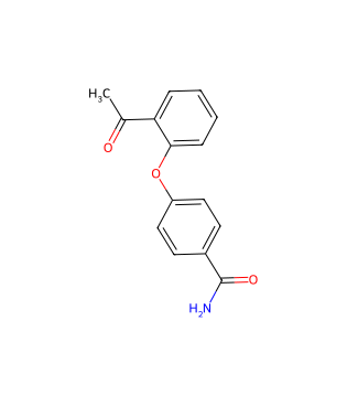 CC(=O)c1ccccc1Oc1ccc(C(N)=O)cc1